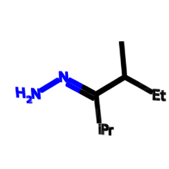 CCC(C)/C(=N/N)C(C)C